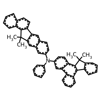 CC1(C)c2cc3cc(N(c4ccccc4)c4ccc5c6c(c7ccccc7c5c4)-c4ccccc4C6(C)C)ccc3cc2-c2ccc3ccccc3c21